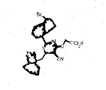 N#Cc1c(Cc2cccc3ccccc23)nc(-c2cccc3c(Br)cccc23)nc1OCC(=O)O